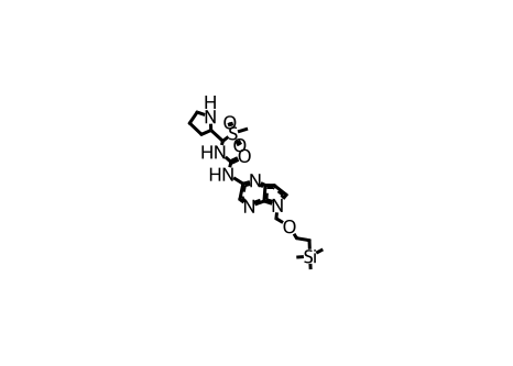 C[Si](C)(C)CCOCn1ccc2nc(NC(=O)NC(C3CCCN3)S(C)(=O)=O)cnc21